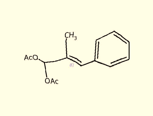 CC(=O)OC(OC(C)=O)/C(C)=C/c1ccccc1